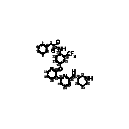 O=S(=O)(Cc1ccccc1)Nc1ccc(Oc2ncccc2-c2ccnc(N[C@H]3CCCNC3)n2)cc1C(F)(F)F